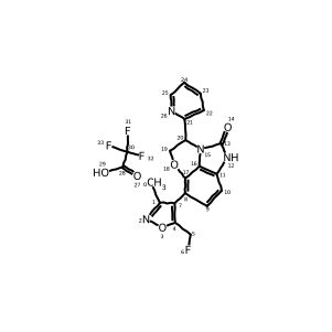 Cc1noc(CF)c1-c1ccc2[nH]c(=O)n3c2c1OCC3c1ccccn1.O=C(O)C(F)(F)F